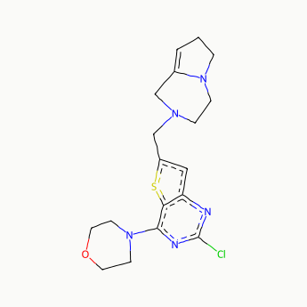 Clc1nc(N2CCOCC2)c2sc(CN3CCN4CCC=C4C3)cc2n1